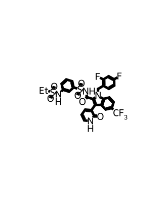 CCS(=O)(=O)Nc1cccc(S(=O)(=O)NC(=O)c2c(-c3ccc[nH]c3=O)c3cc(C(F)(F)F)ccc3n2Cc2ccc(F)cc2F)c1